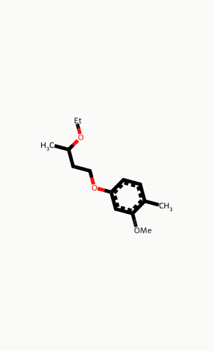 CCOC(C)CCOc1ccc(C)c(OC)c1